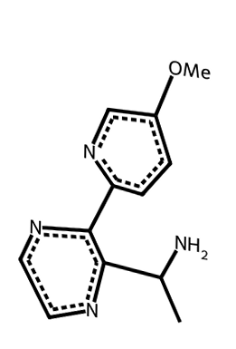 COc1ccc(-c2nccnc2C(C)N)nc1